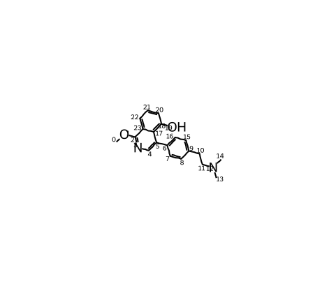 COc1ncc(-c2ccc(CCN(C)C)cc2)c2c(O)cccc12